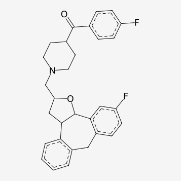 O=C(c1ccc(F)cc1)C1CCN(CC2CC3c4ccccc4Cc4ccc(F)cc4C3O2)CC1